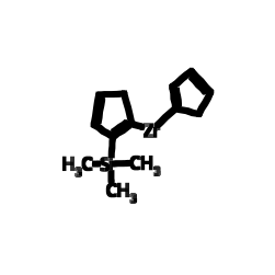 C[Si](C)(C)C1=[C]([Zr][C]2=CC=CC2)CC=C1